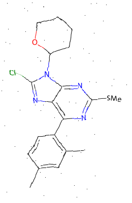 CSc1nc(-c2ccc(C)cc2C)c2nc(Cl)n(C3CCCCO3)c2n1